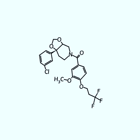 COc1cc(C(=O)N2CC[C@]3(c4cccc(Cl)c4)OCOC3C2)ccc1OCCC(F)(F)F